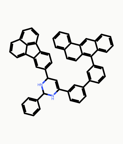 C1=C(c2cccc(-c3cccc(-c4c5ccccc5cc5c4ccc4ccccc45)c3)c2)NC(c2ccccc2)NC1c1ccc2c(c1)-c1cccc3cccc-2c13